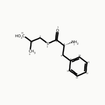 CC(CSC(=O)[C@H](N)Cc1ccccc1)C(=O)O